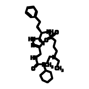 CCN(CC)CCCS(=O)(=O)N[C@H](CCc1ccccc1)c1nc(CNC(=O)SC2CCCCC2)n[nH]1